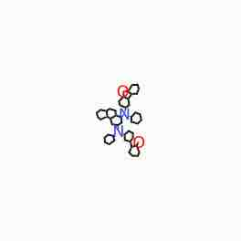 c1ccc(N(c2ccc3oc4ccccc4c3c2)c2cc(N(c3ccccc3)c3ccc4oc5ccccc5c4c3)c3ccc4ccccc4c3c2)cc1